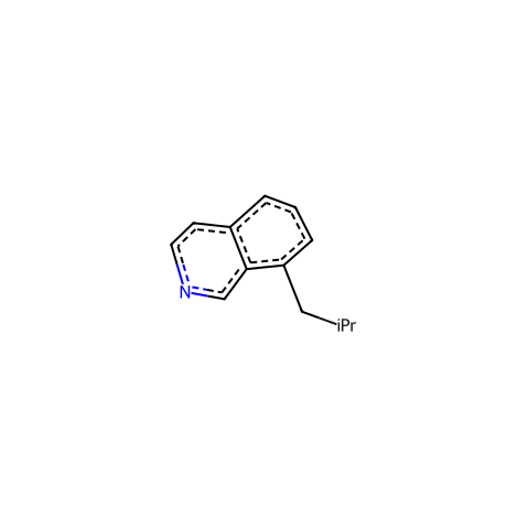 CC(C)Cc1cccc2ccncc12